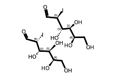 O=C[C@@H](I)[C@@H](O)[C@@H](O)[C@H](O)CO.O=C[C@H](I)[C@@H](O)[C@@H](O)[C@H](O)CO